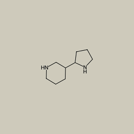 C1CNCC(C2CCCN2)C1